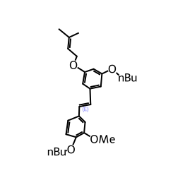 CCCCOc1cc(/C=C/c2ccc(OCCCC)c(OC)c2)cc(OCC=C(C)C)c1